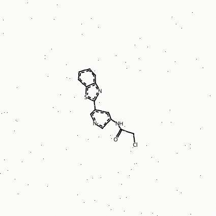 O=C(CCl)Nc1cncc(-c2nc3ccccc3s2)c1